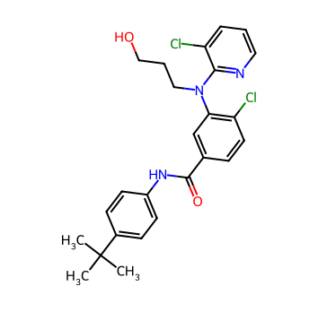 CC(C)(C)c1ccc(NC(=O)c2ccc(Cl)c(N(CCCO)c3ncccc3Cl)c2)cc1